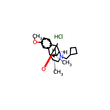 COc1ccc2c(c1)[C@]13CCN(CC4CCC4)[C@H](C2)[C@@H]1[C@@H](C)[C@H](C)C(=O)C3.Cl